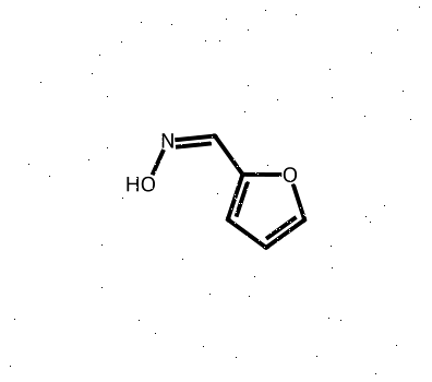 O/N=C\c1ccco1